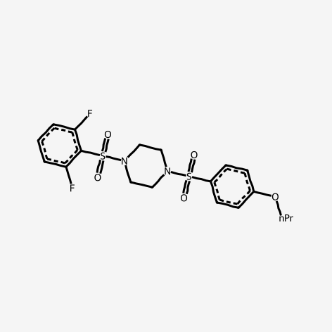 CCCOc1ccc(S(=O)(=O)N2CCN(S(=O)(=O)c3c(F)cccc3F)CC2)cc1